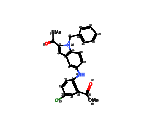 CNC(=O)c1cc2cc(Nc3ccc(Cl)cc3C(=O)OC)ccc2n1Cc1ccccc1